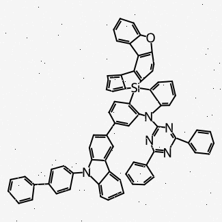 c1ccc(-c2ccc(-n3c4ccccc4c4cc(-c5ccc6c(c5)N(c5nc(-c7ccccc7)nc(-c7ccccc7)n5)c5ccccc5[Si]65c6ccccc6-c6c5ccc5oc7ccccc7c65)ccc43)cc2)cc1